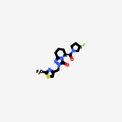 O=C([C@@H]1CCCc2nn(Cc3csc(C(F)(F)F)n3)c(=O)n21)N1CC[C@H](F)C1